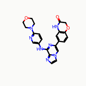 O=C1COc2ccc(-c3cn4ccnc4c(Nc4ccc(N5CCOCC5)nc4)n3)cc2N1